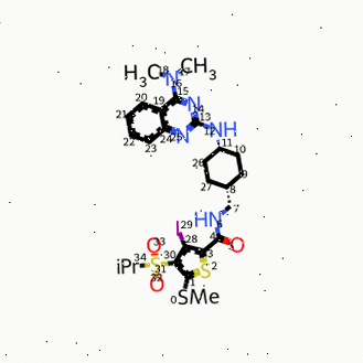 CSc1sc(C(=O)NC[C@H]2CC[C@@H](Nc3nc(N(C)C)c4ccccc4n3)CC2)c(I)c1S(=O)(=O)C(C)C